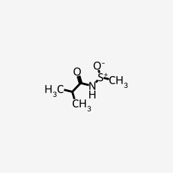 CC(C)C(=O)N[S+](C)[O-]